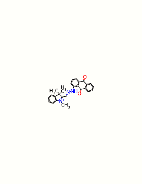 C[N+]1=C(C=NNc2cccc3c2C(=O)c2ccccc2C3=O)C(C)(C)c2ccccc21